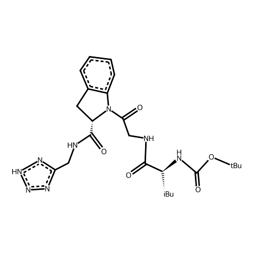 CC[C@@H](C)[C@H](NC(=O)OC(C)(C)C)C(=O)NCC(=O)N1c2ccccc2C[C@H]1C(=O)NCc1nn[nH]n1